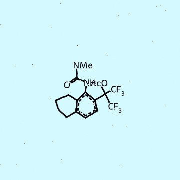 CNC(=O)Nc1c(C(OC(C)=O)(C(F)(F)F)C(F)(F)F)ccc2c1CCCC2